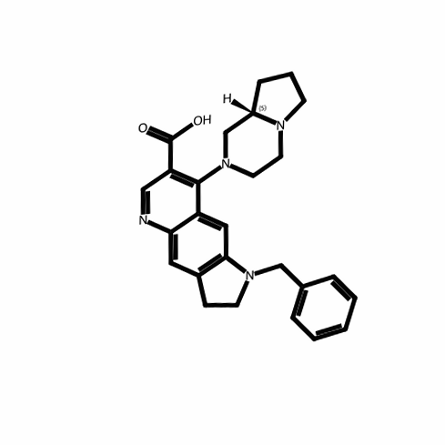 O=C(O)c1cnc2cc3c(cc2c1N1CCN2CCC[C@H]2C1)N(Cc1ccccc1)CC3